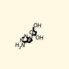 Nc1ncnc2c1ccn2[C@H]1OC(CO)CC1O